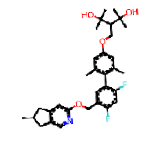 Cc1cc(OCC(C(C)(C)O)C(C)(C)O)cc(C)c1-c1cc(COc2cc3c(cn2)C[C@@H](C)C3)c(F)cc1F